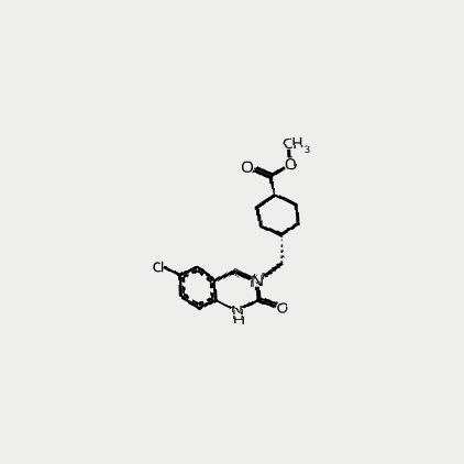 COC(=O)[C@H]1CC[C@H](CN2Cc3cc(Cl)ccc3NC2=O)CC1